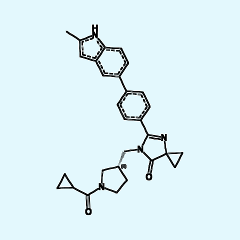 Cc1cc2cc(-c3ccc(C4=NC5(CC5)C(=O)N4C[C@@H]4CCN(C(=O)C5CC5)C4)cc3)ccc2[nH]1